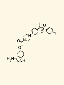 Nc1c[nH]c2ccc(OCC(=O)N3CCN(c4ccc(NS(=O)(=O)c5ccc(F)cc5)cc4)CC3)cc12